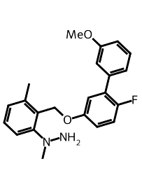 COc1cccc(-c2cc(OCc3c(C)cccc3N(C)N)ccc2F)c1